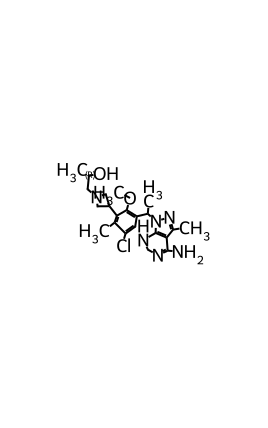 COc1c(C(C)n2nc(C)c3c2NCN=C3N)cc(Cl)c(C)c1C1CN(C[C@@H](C)O)C1